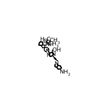 CC(C)(C)[S+]([O-])N[C@@H]1c2ccccc2CC12CCN(c1ncc(C#CCn3ccc4cc(N)ccc43)nc1CO)CC2